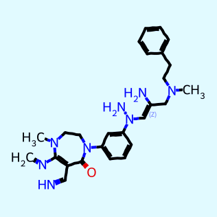 C=NC1=C(C=N)C(=O)N(c2cccc(N(N)/C=C(\N)CN(C)CCc3ccccc3)c2)CCN1C